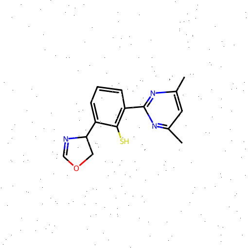 Cc1cc(C)nc(-c2cccc(C3COC=N3)c2S)n1